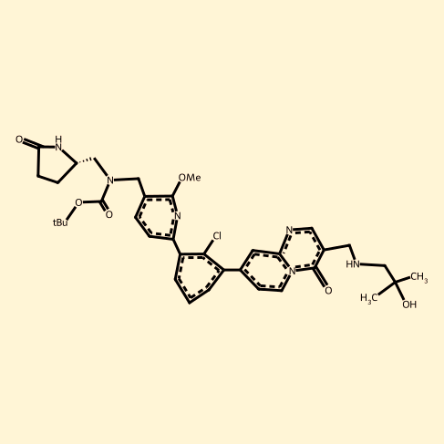 COc1nc(-c2cccc(-c3ccn4c(=O)c(CNCC(C)(C)O)cnc4c3)c2Cl)ccc1CN(C[C@@H]1CCC(=O)N1)C(=O)OC(C)(C)C